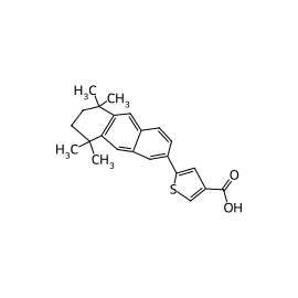 CC1(C)CCC(C)(C)c2cc3cc(-c4cc(C(=O)O)cs4)ccc3cc21